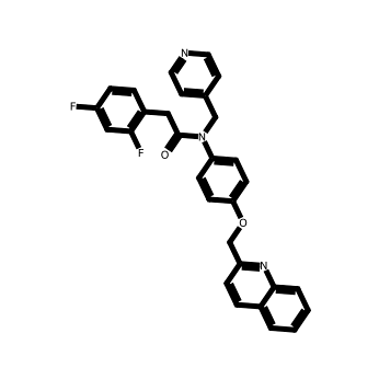 O=C(Cc1ccc(F)cc1F)N(Cc1ccncc1)c1ccc(OCc2ccc3ccccc3n2)cc1